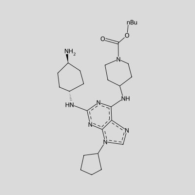 CCCCOC(=O)N1CCC(Nc2nc(N[C@H]3CC[C@H](N)CC3)nc3c2ncn3C2CCCC2)CC1